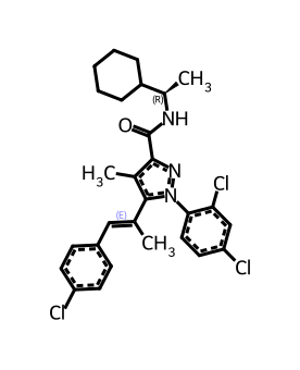 C/C(=C\c1ccc(Cl)cc1)c1c(C)c(C(=O)N[C@H](C)C2CCCCC2)nn1-c1ccc(Cl)cc1Cl